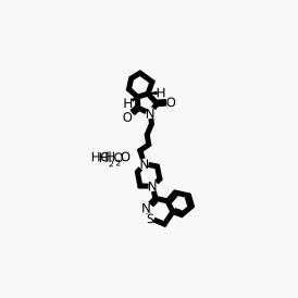 Cl.O.O.O=C1[C@H]2CCCC[C@H]2C(=O)N1CCCCN1CCN(C2=NSCc3ccccc32)CC1